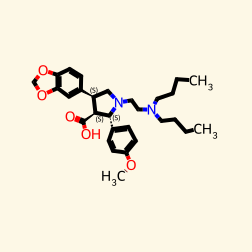 CCCCN(CCCC)CCN1C[C@H](c2ccc3c(c2)OCO3)[C@H](C(=O)O)[C@H]1c1ccc(OC)cc1